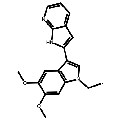 [CH2]Cn1cc(-c2cc3cccnc3[nH]2)c2cc(OC)c(OC)cc21